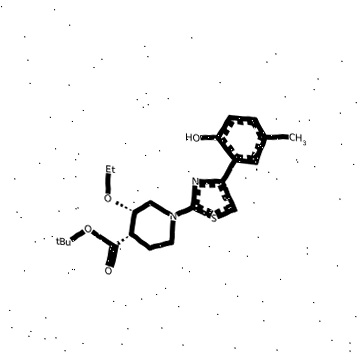 CCO[C@@H]1CN(c2nc(-c3cc(C)ccc3O)cs2)CC[C@@H]1C(=O)OC(C)(C)C